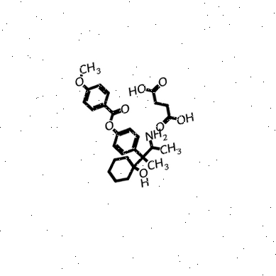 COc1ccc(C(=O)Oc2ccc(C(C)(C(C)N)C3(O)CCCCC3)cc2)cc1.O=C(O)CCC(=O)O